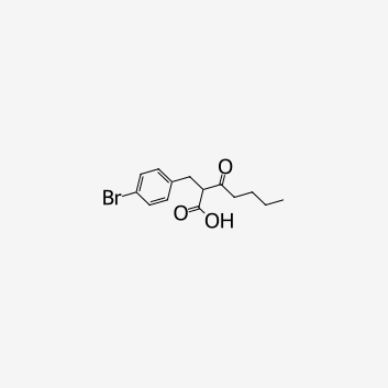 CCCCC(=O)C(Cc1ccc(Br)cc1)C(=O)O